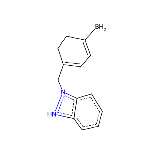 BC1=CC=C(Cn2[nH]c3ccccc32)CC1